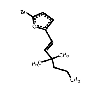 CCCC(C)(C)/C=C/c1ccc(Br)o1